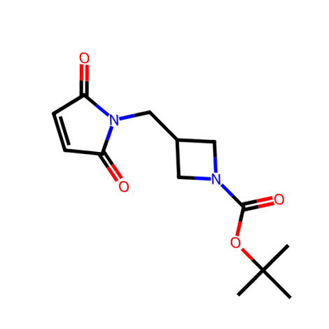 CC(C)(C)OC(=O)N1CC(CN2C(=O)C=CC2=O)C1